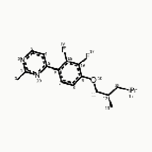 Cc1nccc(-c2ccc(OC[C@H](C)CC(C)C)c(F)c2F)n1